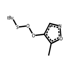 Cc1oncc1OOSC(C)(C)C